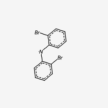 Brc1ccccc1[N]c1ccccc1Br